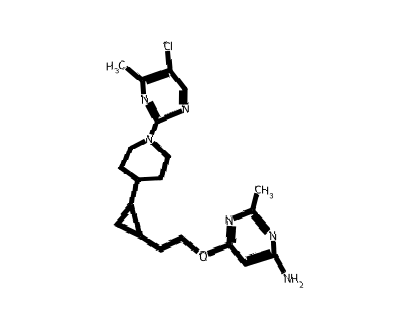 Cc1nc(N)cc(OCCC2CC2C2CCN(c3ncc(Cl)c(C)n3)CC2)n1